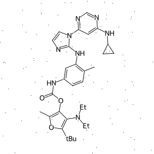 CCN(CC)c1c(C(C)(C)C)oc(C)c1OC(=O)Nc1ccc(C)c(Nc2nccn2-c2cc(NC3CC3)ncn2)c1